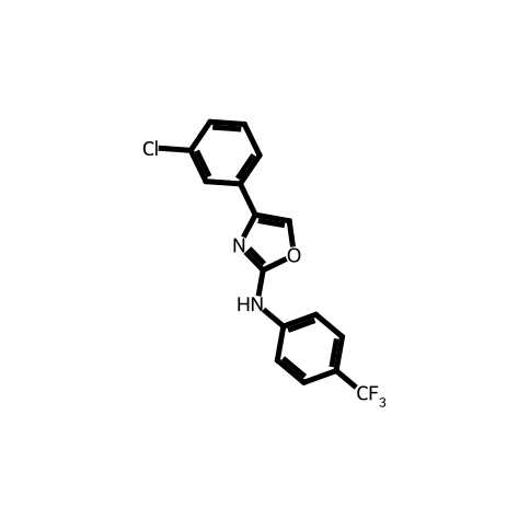 FC(F)(F)c1ccc(Nc2nc(-c3cccc(Cl)c3)co2)cc1